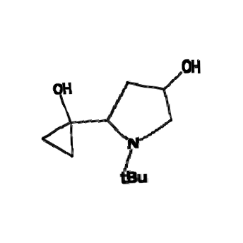 CC(C)(C)N1CC(O)CC1C1(O)CC1